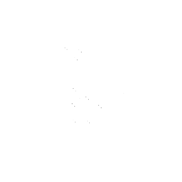 CC(C)N1CNc2c(NCc3ccccc3)nc(NCCSn3cncn3)nc21